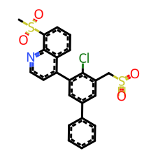 CS(=O)(=O)c1cccc2c(-c3cc(-c4ccccc4)cc(C[SH](=O)=O)c3Cl)ccnc12